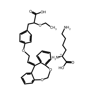 CCOC(Cc1ccc(OCC=C2c3ccccc3OCOc3ccccc32)cc1)C(=O)O.NCCCC[C@H](N)C(=O)O